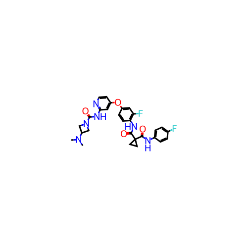 CN(C)C1CN(C(=O)Nc2cc(Oc3ccc(NC(=O)C4(C(=O)Nc5ccc(F)cc5)CC4)c(F)c3)ccn2)C1